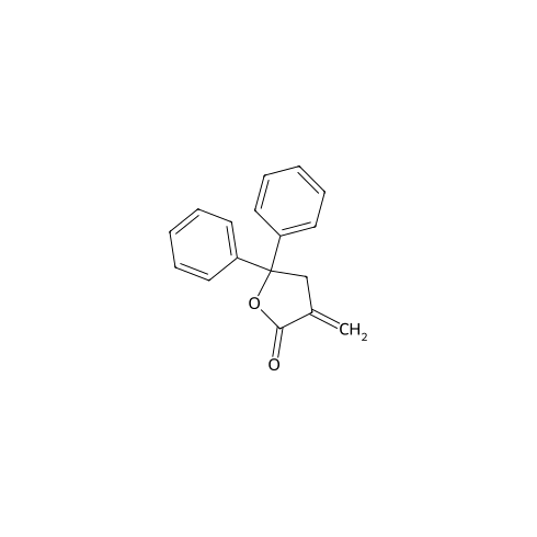 C=C1CC(c2ccccc2)(c2ccccc2)OC1=O